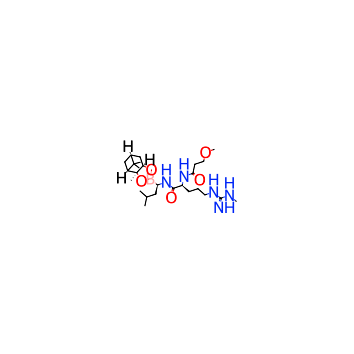 CNC(=N)NCCC[C@H](NC(=O)CCOC)C(=O)N[C@@H](CC(C)C)B1O[C@@H]2C[C@@H]3C[C@@H](C3(C)C)[C@]2(C)O1